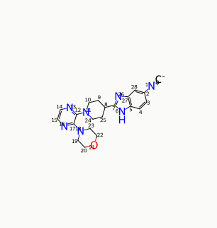 [C-]#[N+]c1ccc2[nH]c(C3CCN(c4nccnc4N4CCOCC4)CC3)nc2c1